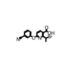 CC(Br)c1nc(Oc2cccc(C#N)c2)ccc1C(=O)O